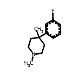 CN1CCC(C)(c2cccc(F)c2)CC1